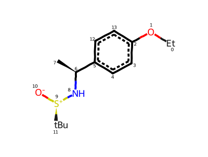 CCOc1ccc([C@H](C)N[S@+]([O-])C(C)(C)C)cc1